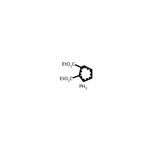 CCOC(=O)c1ccccc1C(=O)OCC.P